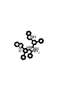 N=C(NC(c1cc(C2=CC=C3C=CC=CC3N2)cc(-c2ccccc2)c1)[C@H](N)c1ccccc1)C1=CC(c2ccccc2)=CC(C2C=Cc3ccccc3N2)C1